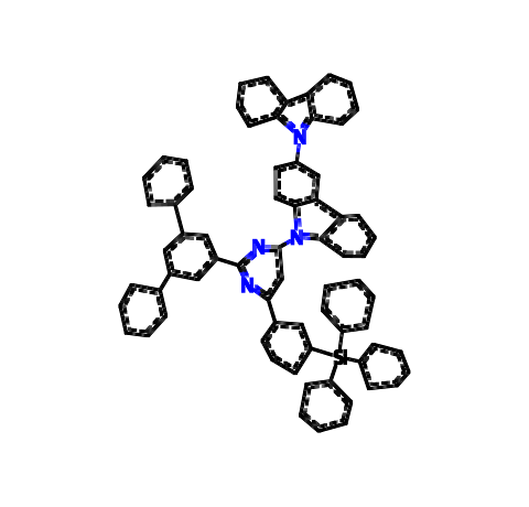 c1ccc(-c2cc(-c3ccccc3)cc(-c3nc(-c4cccc([Si](c5ccccc5)(c5ccccc5)c5ccccc5)c4)cc(-n4c5ccccc5c5cc(-n6c7ccccc7c7ccccc76)ccc54)n3)c2)cc1